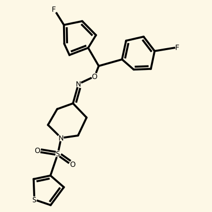 O=S(=O)(c1ccsc1)N1CCC(=NOC(c2ccc(F)cc2)c2ccc(F)cc2)CC1